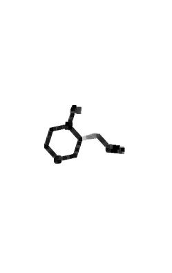 COC[C@@H]1COCCN1C(C)=O